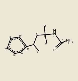 CC(CC(C)(C)NC(N)=S)c1ccccc1